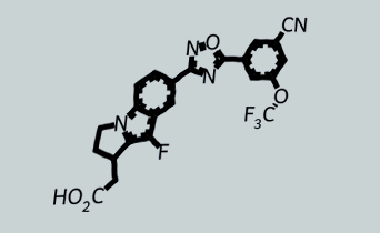 N#Cc1cc(OC(F)(F)F)cc(-c2nc(-c3ccc4c(c3)c(F)c3n4CCC3CC(=O)O)no2)c1